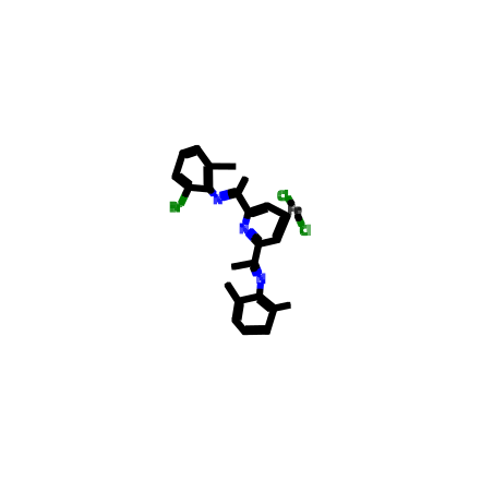 CC(=Nc1c(C)cccc1C)c1cccc(C(C)=Nc2c(C)cccc2Br)n1.[Cl][Fe][Cl]